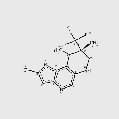 CC1c2c(cnc3cc(Cl)nn23)NC[C@@]1(C)C(F)(F)F